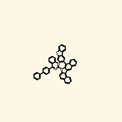 c1ccc(-c2ccc(-c3nc(-n4c5ccc6ccccc6c5c5cc6ccccc6c(-c6ccc7sc8ccccc8c7c6)c54)nc4ccccc34)cc2)cc1